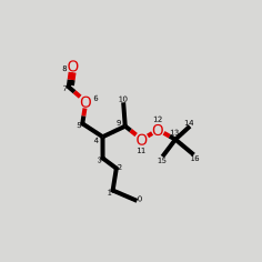 CCCCC(COC=O)C(C)OOC(C)(C)C